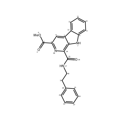 COC(=O)c1cc2c([nH]c3ccccc32)c(C(=O)NCCc2ccccc2)n1